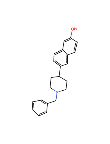 Oc1ccc2cc(C3CCN(Cc4ccccc4)CC3)ccc2c1